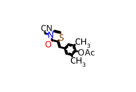 CC(=O)Oc1c(C)cc(C=C2SC=CN(CC#N)C2=O)cc1C